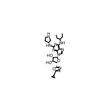 CCC(CC)Nc1nc(N[C@@H]2CCNC2)nc2c1ncn2[C@@H]1O[C@H](c2nnc(C3CC3)o2)[C@@H](O)[C@H]1O